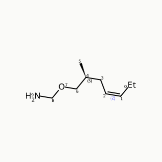 CC/C=C\C[C@H](C)COCN